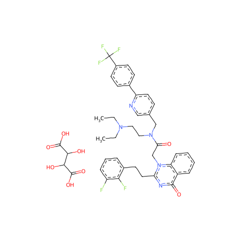 CCN(CC)CCN(Cc1ccc(-c2ccc(C(F)(F)F)cc2)nc1)C(=O)Cn1c(CCc2cccc(F)c2F)nc(=O)c2ccccc21.O=C(O)C(O)C(O)C(=O)O